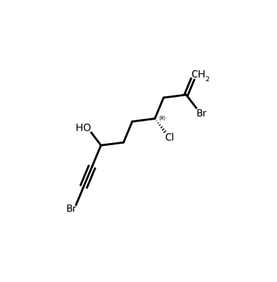 C=C(Br)C[C@H](Cl)CCC(O)C#CBr